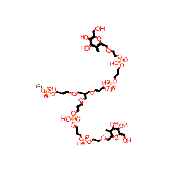 CC(C)OP(=O)(O)OCCCOCC(COCCCOP(=O)(O)OCCCOP(=O)(O)OCCOCC1OC(CO)C(O)C(O)C1C)COCCCOP(=O)(O)OCCCOP(=O)(O)OCCOCC1OC(CO)C(O)C(O)C1C